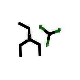 CC[SiH](CC)CC.FB(F)F